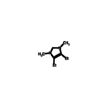 CCC1=C(CC)N(C)CN1C